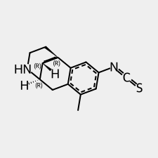 Cc1cc(N=C=S)cc2c1C[C@H]1NCC[C@@]23CCCC[C@@H]13